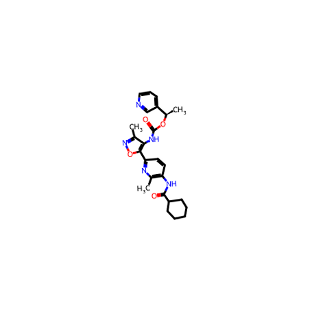 Cc1nc(-c2onc(C)c2NC(=O)O[C@H](C)c2cccnc2)ccc1NC(=O)C1CCCCC1